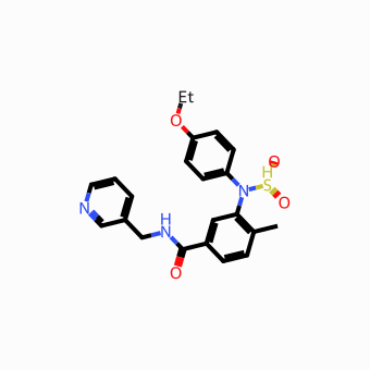 CCOc1ccc(N(c2cc(C(=O)NCc3cccnc3)ccc2C)[SH](=O)=O)cc1